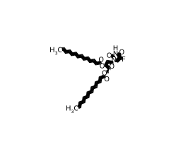 CCCCCCCCCCCCCC(=O)OC[C@@H]1O[C@H](n2cc(F)c(=O)[nH]c2=O)CC1OC(=O)CCCCCCCCCCCCC